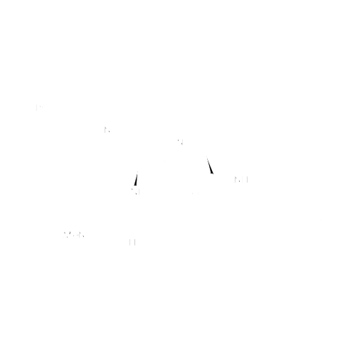 CN[C@@H](C)C(=O)N[C@H]1CN(C(=O)CC(C)C)CCC[C@H]2CC[C@@H](C(=O)NC(c3ccccc3)c3ccccc3)N2C1=O